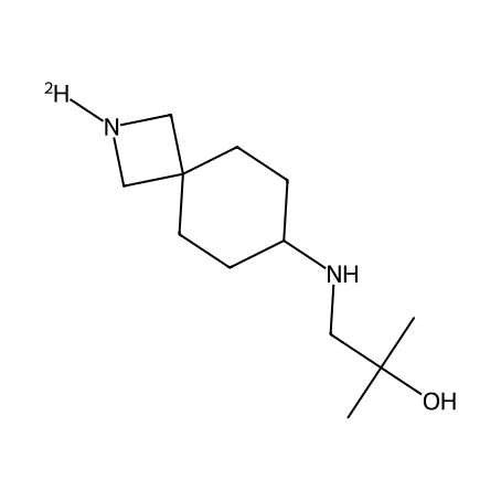 [2H]N1CC2(CCC(NCC(C)(C)O)CC2)C1